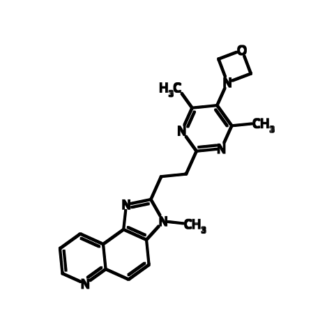 Cc1nc(CCc2nc3c4cccnc4ccc3n2C)nc(C)c1N1COC1